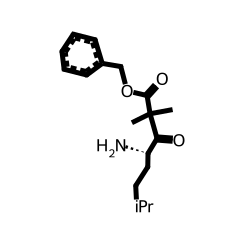 CC(C)CC[C@H](N)C(=O)C(C)(C)C(=O)OCc1ccccc1